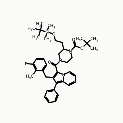 Cc1c(F)cccc1Cc1c(-c2ccccc2)c2ccccn2c1C(=O)N1CCN(C(=O)OC(C)(C)C)C(CCO[Si](C)(C)C(C)(C)C)C1